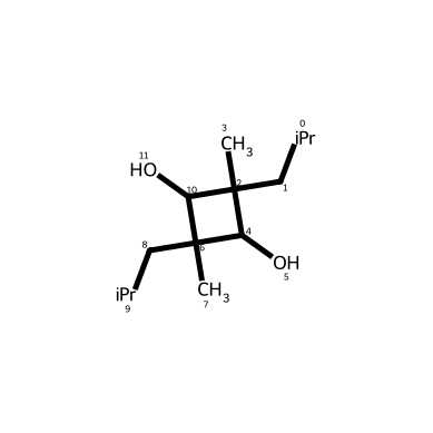 CC(C)CC1(C)C(O)C(C)(CC(C)C)C1O